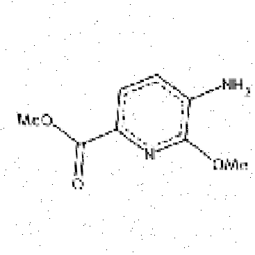 COC(=O)c1ccc(N)c(OC)n1